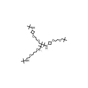 C[C@H](OCCCOCCNC(C)(C)C)C(C)(C)C(C)(COCCO[C@H]1C[C@H](NC(C)(C)C)C1)C(C)(C)N[C@H]1C[C@@H](OCCOCC(C)(C)C)C1